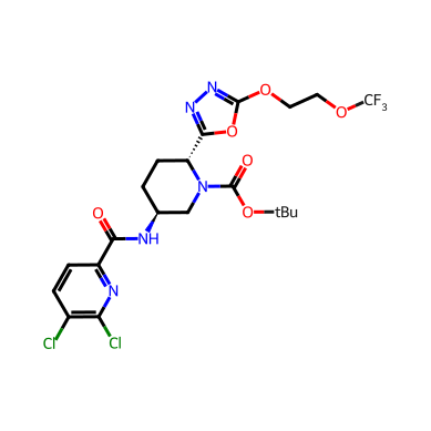 CC(C)(C)OC(=O)N1C[C@@H](NC(=O)c2ccc(Cl)c(Cl)n2)CC[C@@H]1c1nnc(OCCOC(F)(F)F)o1